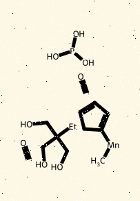 CCC(CO)(CO)CO.OP(O)O.[CH3][Mn][C]1=CC=CC1.[C]=O.[C]=O